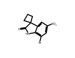 O=C1Nc2c(Br)cc([N+](=O)[O-])cc2C12CCC2